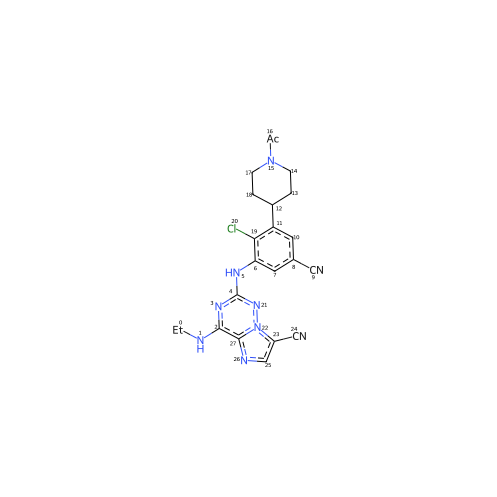 CCNc1nc(Nc2cc(C#N)cc(C3CCN(C(C)=O)CC3)c2Cl)nn2c(C#N)cnc12